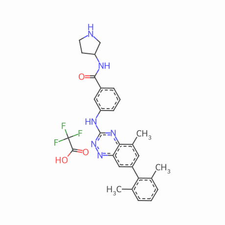 Cc1cccc(C)c1-c1cc(C)c2nc(Nc3cccc(C(=O)NC4CCNC4)c3)nnc2c1.O=C(O)C(F)(F)F